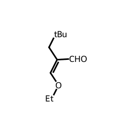 CCO/C=C(\C=O)CC(C)(C)C